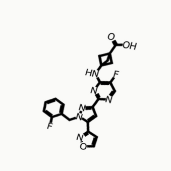 O=C(O)C12CC(Nc3nc(-c4cc(-c5ccon5)n(Cc5ccccc5F)n4)ncc3F)(C1)C2